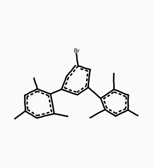 Cc1cc(C)c(-c2cc(Br)cc(-c3c(C)cc(C)cc3C)c2)c(C)c1